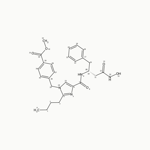 CCCCc1nc(C(=O)N[C@@H](CC(=O)NO)Cc2ccccc2)cn1Cc1ccc(C(=O)OC)cc1